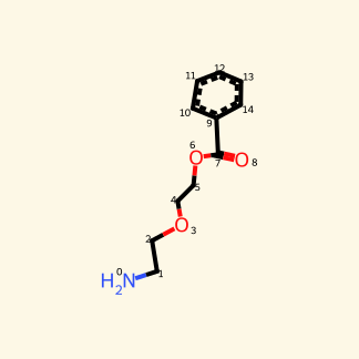 NCCOCCOC(=O)c1ccccc1